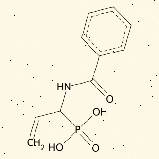 C=CC(NC(=O)c1ccccc1)P(=O)(O)O